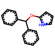 c1ccc(C(Oc2ccc[nH]2)c2ccccc2)cc1